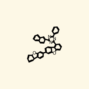 C1=CC2Oc3cc(-c4ccc5c(c4)oc4cccc(-c6nc(-c7ccccc7)nc(-c7ccc8ccccc8c7)n6)c45)ccc3C2C=C1